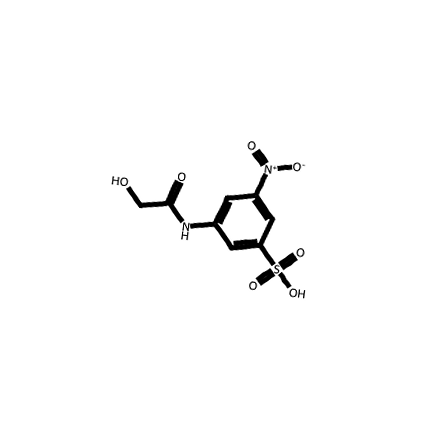 O=C(CO)Nc1cc([N+](=O)[O-])cc(S(=O)(=O)O)c1